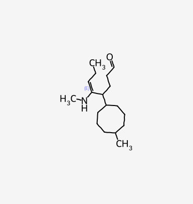 CC/C=C(/NC)C(CCC=O)C1CCCC(C)CCC1